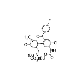 Cn1cc(-c2cc(NC(=O)OC(C)(C)C)c(Cl)cc2C(=O)c2ccc(F)cc2)c(CN(C(=O)O)C(C)(C)C)cc1=O